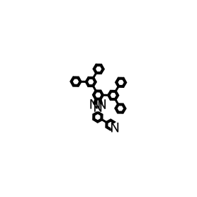 c1ccc(-c2cc(-c3ccccc3)cc(-c3cc(-c4cc(-c5ccccc5)cc(-c5ccccc5)c4)c4nn(-c5cccc(-c6ccncc6)c5)nc4c3)c2)cc1